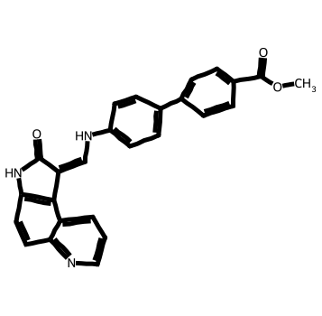 COC(=O)c1ccc(-c2ccc(N/C=C3\C(=O)Nc4ccc5ncccc5c43)cc2)cc1